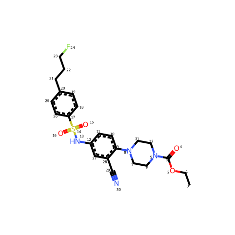 CCOC(=O)N1CCN(c2ccc(NS(=O)(=O)c3ccc(CCCF)cc3)cc2C#N)CC1